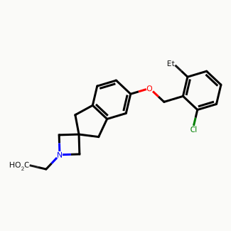 CCc1cccc(Cl)c1COc1ccc2c(c1)CC1(C2)CN(CC(=O)O)C1